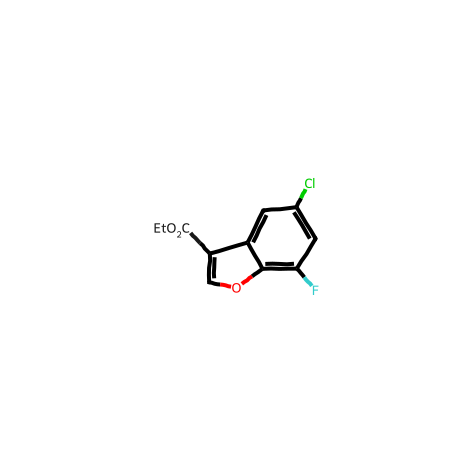 CCOC(=O)c1coc2c(F)cc(Cl)cc12